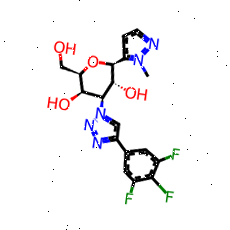 Cn1nccc1[C@@H]1O[C@H](CO)[C@H](O)[C@H](n2cc(-c3cc(F)c(F)c(F)c3)nn2)[C@H]1O